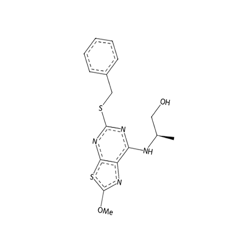 COc1nc2c(N[C@H](C)CO)nc(SCc3ccccc3)nc2s1